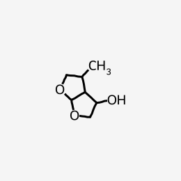 CC1COC2OCC(O)C12